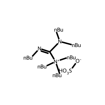 CCCCN=C(N(CCCC)CCCC)[N+](CCCC)(CCCC)CCCC.O=S(=O)([O-])O